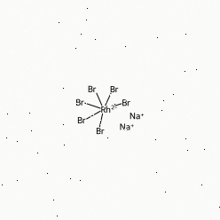 [Br][Rh-2]([Br])([Br])([Br])([Br])[Br].[Na+].[Na+]